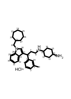 Cc1cccc(C(CCNC2CCC(N)CC2)c2cn(CC3CCCCCC3)c3ccccc23)c1.Cl